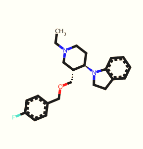 CCN1CC[C@@H](N2CCc3ccccc32)[C@H](COCc2ccc(F)cc2)C1